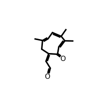 CC1=C/C=C(\C)C/C(=C/C=O)C(=O)\C=C\1C